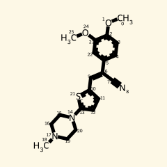 COc1ccc(C(C#N)=Cc2ccc(N3CCN(C)CC3)s2)cc1OC